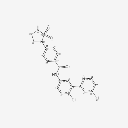 O=C(Nc1ccc(Cl)c(-c2cc(Cl)ccn2)c1)c1ccc(N2CCNS2(=O)=O)cc1